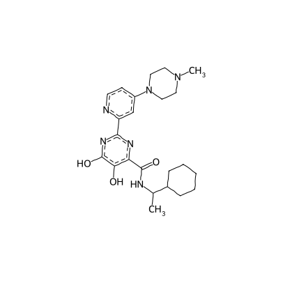 CC(NC(=O)c1nc(-c2cc(N3CCN(C)CC3)ccn2)nc(O)c1O)C1CCCCC1